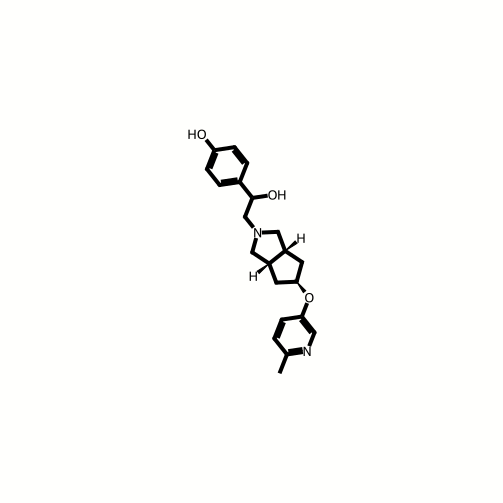 Cc1ccc(O[C@H]2C[C@@H]3CN(CC(O)c4ccc(O)cc4)C[C@@H]3C2)cn1